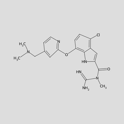 CN(C)Cc1ccnc(Oc2ccc(Cl)c3cc(C(=O)N(C)C(=N)N)[nH]c23)c1